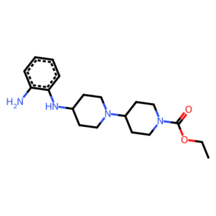 CCOC(=O)N1CCC(N2CCC(Nc3ccccc3N)CC2)CC1